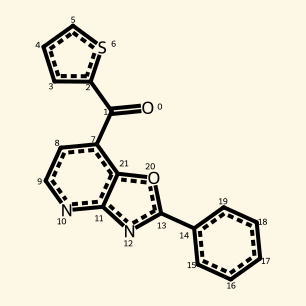 O=C(c1cccs1)c1ccnc2nc(-c3ccccc3)oc12